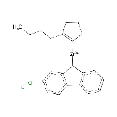 CCCCC1=[C]([Zr+2][CH]2c3ccccc3-c3ccccc32)CC=C1.[Cl-].[Cl-]